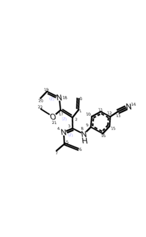 C=CC(/C(=N/C(=C)C)Nc1ccc(C#N)cc1)=C(\N=C/C)OC